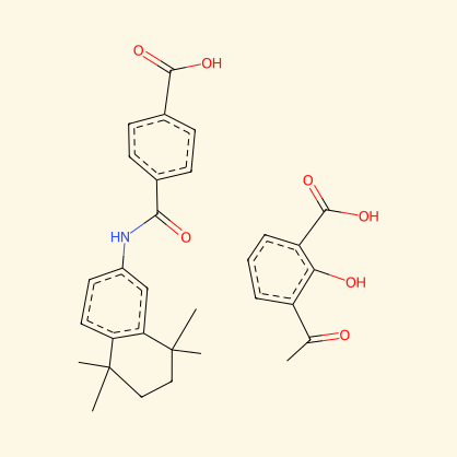 CC(=O)c1cccc(C(=O)O)c1O.CC1(C)CCC(C)(C)c2cc(NC(=O)c3ccc(C(=O)O)cc3)ccc21